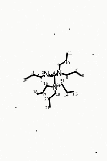 CCCN=C(N(CCC)CCC)[N+](CCC)(CCC)CCC